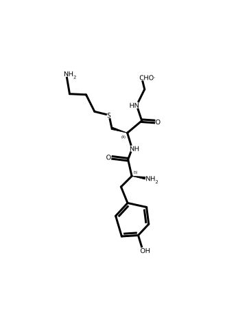 NCCCSC[C@H](NC(=O)[C@@H](N)Cc1ccc(O)cc1)C(=O)NC[C]=O